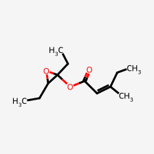 CCC(C)=CC(=O)OC1(CC)OC1CC